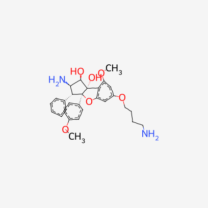 COc1ccc([C@@]23Oc4cc(OCCCCN)cc(OC)c4[C@]2(O)[C@H](O)[C@H](N)[C@H]3c2ccccc2)cc1